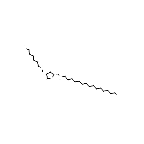 CCCCCCCCCCCCCCCCOC[C@@H]1C[C@@H](COCCCCCCO)CO1